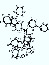 c1ccc(-c2cccc(N(c3ccc(-c4cccc5c4C4(c6ccccc6O5)c5ccccc5-c5ccccc54)cc3)c3ccc4c5ccccc5n(-c5ccccc5)c4c3)c2)cc1